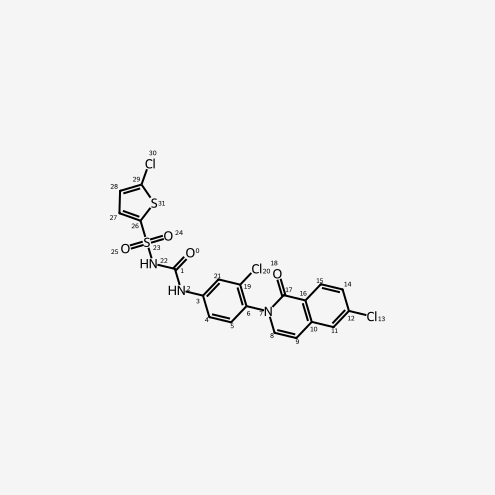 O=C(Nc1ccc(-n2ccc3cc(Cl)ccc3c2=O)c(Cl)c1)NS(=O)(=O)c1ccc(Cl)s1